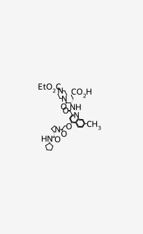 CCOC(=O)N1CCN(C(=O)[C@H](CCC(=O)O)NC(=O)c2cc(OCC(=O)N3CC[C@H]3C(=O)NC3CCCC3)c3ccc(C)cc3n2)CC1